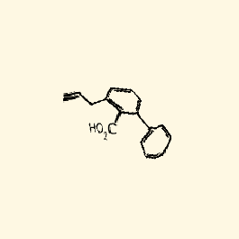 C=CCc1cccc(-c2ccccc2)c1C(=O)O